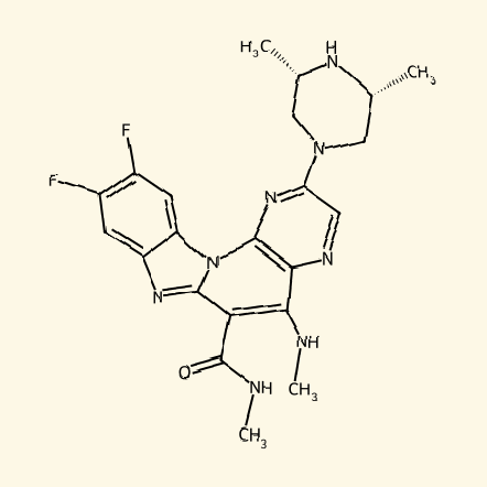 CNC(=O)c1c(NC)c2ncc(N3C[C@@H](C)N[C@@H](C)C3)nc2n2c1nc1cc(F)c(F)cc12